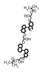 C=C(C)C(=O)OCC(O)COc1ccc2cccc(-c3cccc4ccc(OCC(O)COc5ccc6cccc(-c7cccc8ccc(OCC(O)COC(=O)C(=C)C)cc78)c6c5)cc34)c2c1